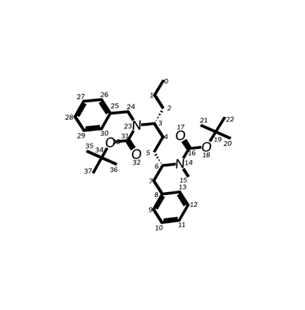 CCC[C@H](CC[C@@H](Cc1ccccc1)N(C)C(=O)OC(C)(C)C)N(Cc1ccccc1)C(=O)OC(C)(C)C